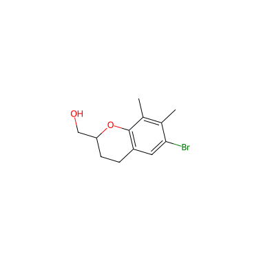 Cc1c(Br)cc2c(c1C)OC(CO)CC2